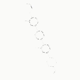 C=CC1CCC(c2ccc(-c3ccc(-c4ccc(C/C=C\CC)c(F)c4F)cc3)c(F)c2F)OC1